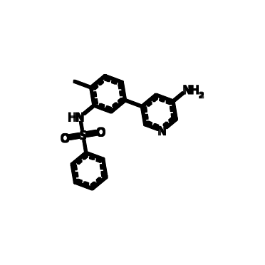 Cc1ccc(-c2cncc(N)c2)cc1NS(=O)(=O)c1ccccc1